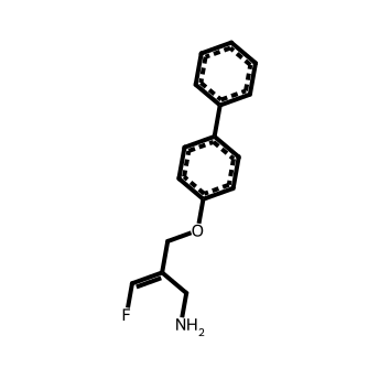 NC/C(=C\F)COc1ccc(-c2ccccc2)cc1